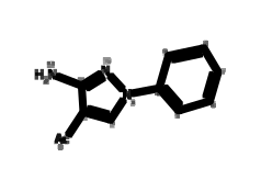 CC(=O)c1cn(-c2ccccc2)nc1N